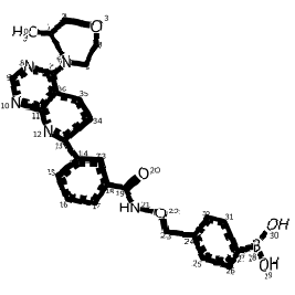 CC1COCCN1c1ncnc2nc(-c3cccc(C(=O)NOCc4ccc(B(O)O)cc4)c3)ccc12